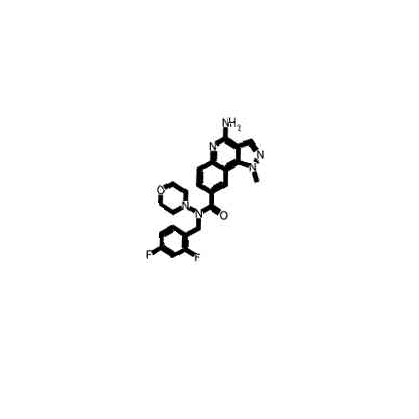 Cn1ncc2c(N)nc3ccc(C(=O)N(Cc4ccc(F)cc4F)N4CCOCC4)cc3c21